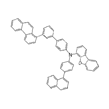 c1cc(-c2ccc(N(c3ccc(-c4cccc5ccccc45)cc3)c3cccc4c3oc3ccccc34)cc2)cc(-c2cccc3c2ccc2ccccc23)c1